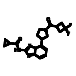 O=C(Nc1nc2cccc(C3CCN(C(=O)C4CC(F)(F)C4)C3)n2n1)C1CC1